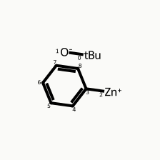 CC(C)(C)[O-].[Zn+][c]1ccccc1